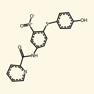 O=C(Nc1ccc(Sc2ccc(O)cc2)c([N+](=O)[O-])c1)c1ccccn1